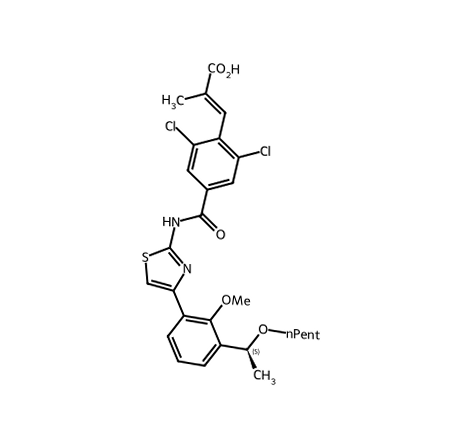 CCCCCO[C@@H](C)c1cccc(-c2csc(NC(=O)c3cc(Cl)c(C=C(C)C(=O)O)c(Cl)c3)n2)c1OC